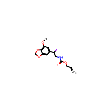 C=CCOC(=O)NCC(I)c1cc(OC)c2c(c1)OCO2